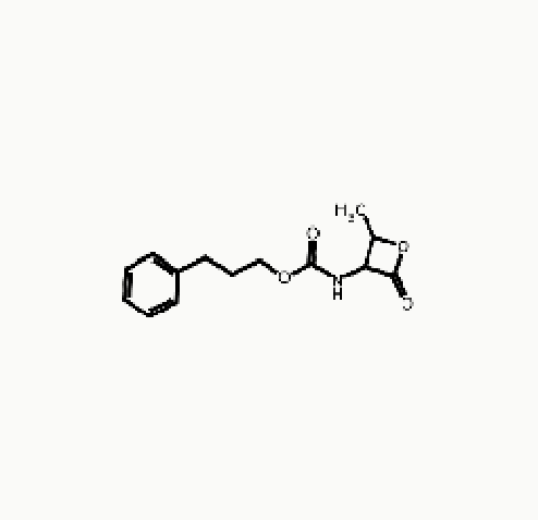 CC1OC(=O)C1NC(=O)OCCCc1ccccc1